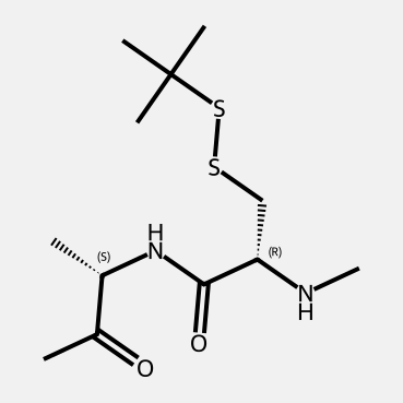 CN[C@@H](CSSC(C)(C)C)C(=O)N[C@@H](C)C(C)=O